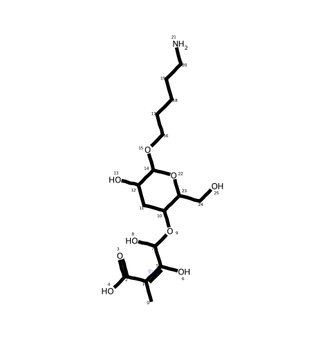 C/C(C(=O)O)=C(\O)C(O)OC1CC(O)C(OCCCCCN)OC1CO